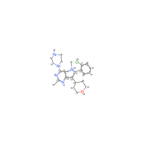 Cc1nc(N2CCN(C)CC2)c2c(n1)c(C1CCOCC1)c(-c1ccccc1Cl)n2C